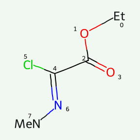 CCOC(=O)/C(Cl)=N/NC